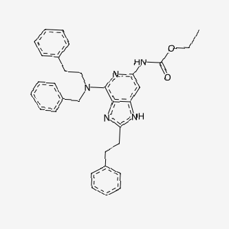 CCOC(=O)Nc1cc2[nH]c(CCc3ccccc3)nc2c(N(CCc2ccccc2)Cc2ccccc2)n1